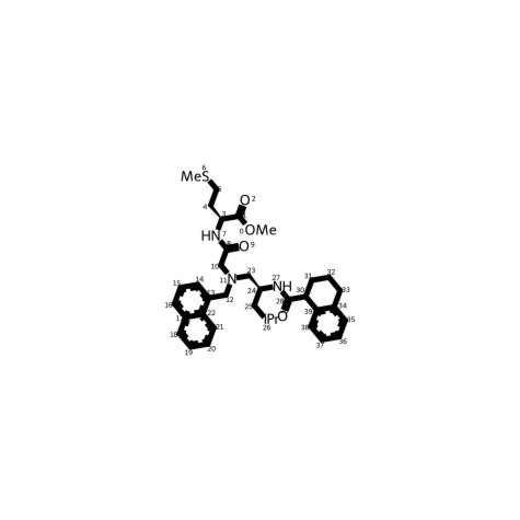 COC(=O)[C@H](CCSC)NC(=O)CN(Cc1cccc2ccccc12)C[C@H](CC(C)C)NC(=O)C1CCCc2ccccc21